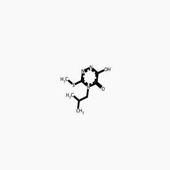 CSc1nnc(O)c(=O)n1CC(C)C